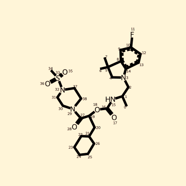 CC(CN1CC(C)(C)c2cc(F)ccc21)NC(=O)OC(CC1CCCCC1)C(=O)N1CCN(S(C)(=O)=O)CC1